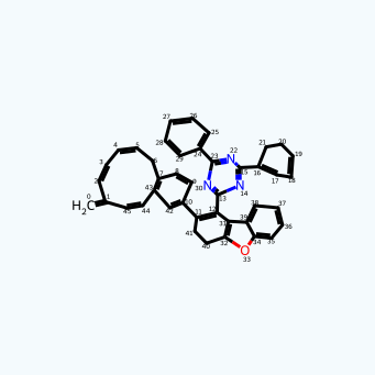 C=C1/C=C\C=C/Cc2ccc(C3=C(c4nc(C5=CC=CCC5)nc(-c5ccccc5)n4)c4c(oc5ccccc45)CC3)cc2/C=C\1